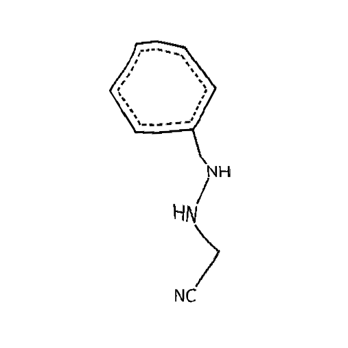 N#CCNNc1ccccc1